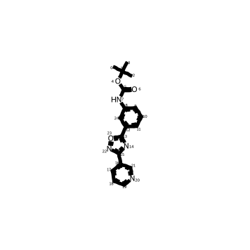 CC(C)(C)OC(=O)Nc1cccc(-c2nc(-c3cccnc3)no2)c1